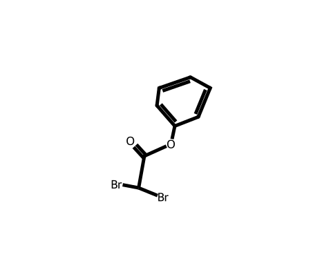 O=C(Oc1ccccc1)C(Br)Br